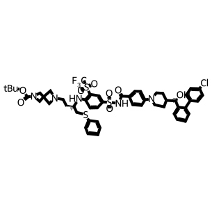 CC(C)(C)OC(=O)N1CC2(CN(CC[C@H](CSc3ccccc3)Nc3ccc(S(=O)(=O)NC(=O)c4ccc(N5CCC([C@@H](O)c6ccccc6-c6ccc(Cl)cc6)CC5)cc4)cc3S(=O)(=O)C(F)(F)F)C2)C1